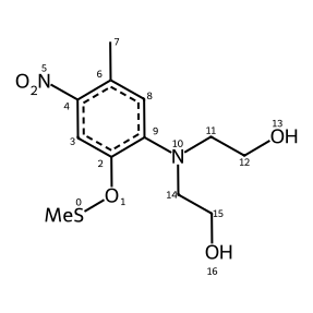 CSOc1cc([N+](=O)[O-])c(C)cc1N(CCO)CCO